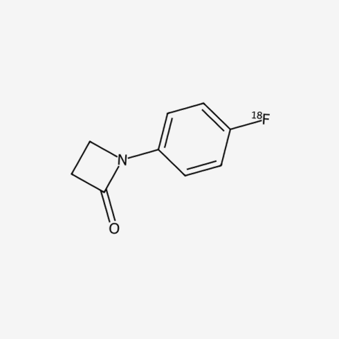 O=C1CCN1c1ccc([18F])cc1